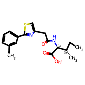 CC[C@H](C)[C@H](NC(=O)Cc1csc(-c2cccc(C)c2)n1)C(=O)O